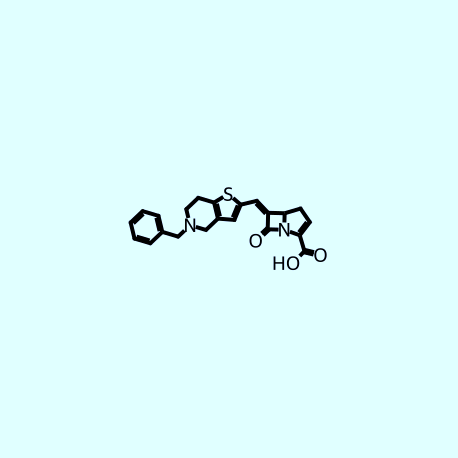 O=C(O)C1=CCC2C(=Cc3cc4c(s3)CCN(Cc3ccccc3)C4)C(=O)N12